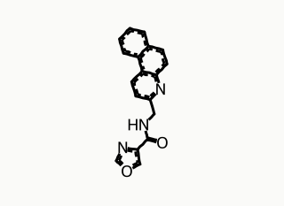 O=C(NCc1ccc2c(ccc3ccccc32)n1)c1cocn1